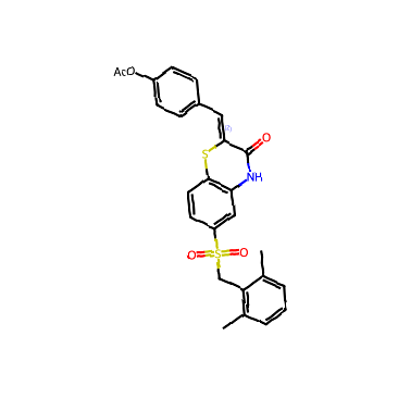 CC(=O)Oc1ccc(/C=C2\Sc3ccc(S(=O)(=O)Cc4c(C)cccc4C)cc3NC2=O)cc1